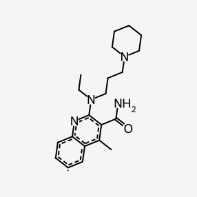 CCN(CCCN1CCCCC1)c1nc2cc[c]cc2c(C)c1C(N)=O